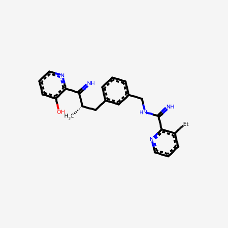 CCc1cccnc1C(=N)NCc1cccc(C[C@H](C)C(=N)c2ncccc2O)c1